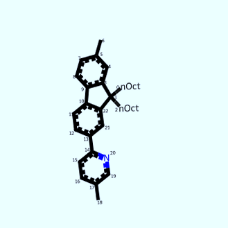 CCCCCCCCC1(CCCCCCCC)c2cc(C)ccc2-c2ccc(-c3ccc(C)cn3)cc21